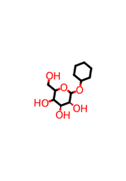 OCC1OC(OC2CCCCC2)[C@@H](O)[C@@H](O)C1O